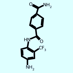 NC(=O)c1ccc(C(=O)Nc2ccc(N)cc2C(F)(F)F)cc1